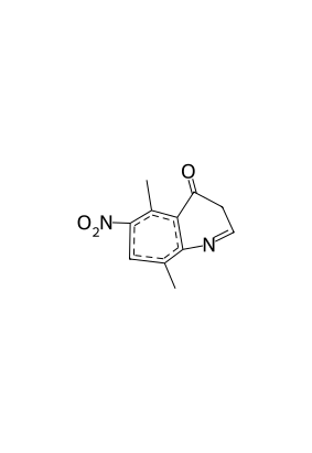 Cc1cc([N+](=O)[O-])c(C)c2c1N=CCC2=O